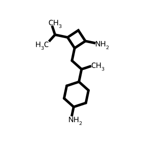 CC(C)C1CC(N)C1CC(C)C1CCC(N)CC1